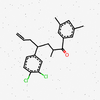 C=CCC(CC(C)C(=O)c1cc(C)cc(C)c1)c1ccc(Cl)c(Cl)c1